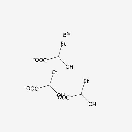 CCC(O)C(=O)[O-].CCC(O)C(=O)[O-].CCC(O)C(=O)[O-].[B+3]